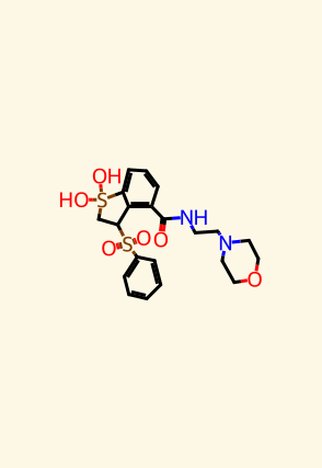 O=C(NCCN1CCOCC1)c1cccc2c1C(S(=O)(=O)c1ccccc1)CS2(O)O